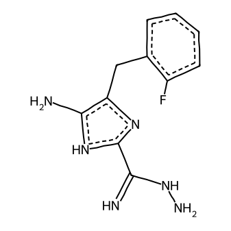 N=C(NN)c1nc(Cc2ccccc2F)c(N)[nH]1